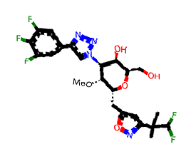 CO[C@@H]1[C@@H](n2cc(-c3cc(F)c(F)c(F)c3)nn2)[C@@H](O)[C@@H](CO)O[C@@H]1Cc1cc(C(C)(C)C(F)F)no1